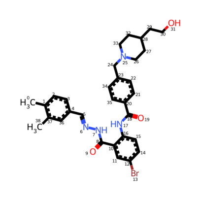 Cc1ccc(C=NNC(=O)c2cc(Br)ccc2NC(=O)c2ccc(CN3CCC(CCO)CC3)cc2)cc1C